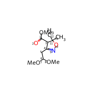 COC(=O)C1C(CC(OC)OC)=NOC1(C)C